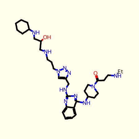 CCNCCC(=O)N1CCC(Nc2nc(NCc3cn(CCCNCC(O)CNC4CCCCC4)nn3)nc3ccccc23)CC1